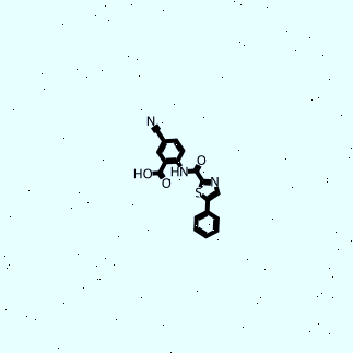 N#Cc1ccc(NC(=O)c2ncc(-c3ccccc3)s2)c(C(=O)O)c1